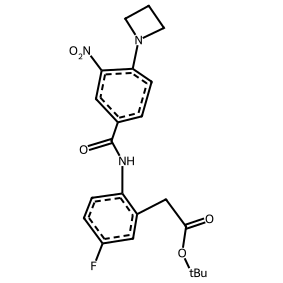 CC(C)(C)OC(=O)Cc1cc(F)ccc1NC(=O)c1ccc(N2CCC2)c([N+](=O)[O-])c1